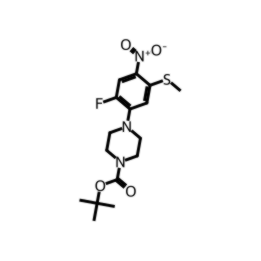 CSc1cc(N2CCN(C(=O)OC(C)(C)C)CC2)c(F)cc1[N+](=O)[O-]